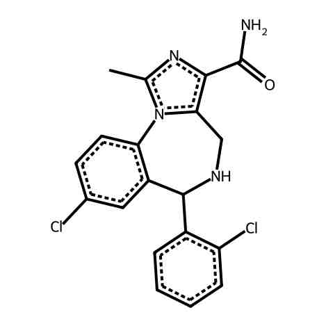 Cc1nc(C(N)=O)c2n1-c1ccc(Cl)cc1C(c1ccccc1Cl)NC2